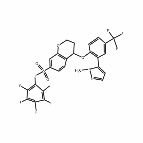 Cn1nccc1-c1cc(C(F)(F)F)ccc1OC1CCOc2cc(S(=O)(=O)Oc3c(F)c(F)c(F)c(F)c3F)ccc21